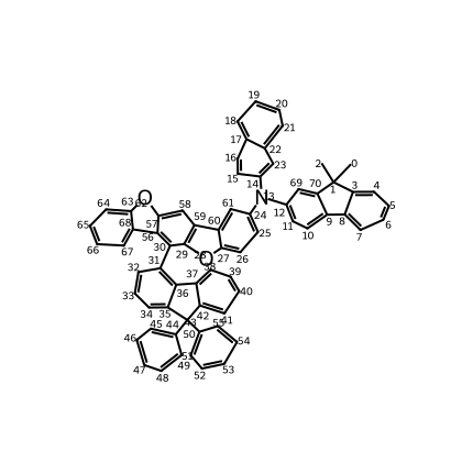 CC1(C)c2ccccc2-c2ccc(N(c3ccc4ccccc4c3)c3ccc4oc5c(-c6cccc7c6-c6ccccc6C7(c6ccccc6)c6ccccc6)c6c(cc5c4c3)oc3ccccc36)cc21